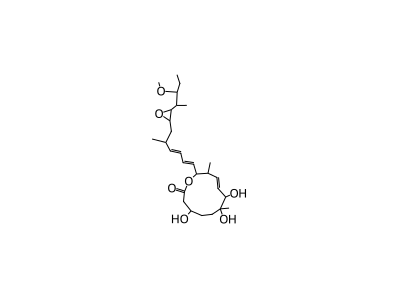 CCC(OC)C(C)C1OC1CC(C)/C=C/C=C/C1OC(=O)CC(O)CCC(C)(O)C(O)/C=C/C1C